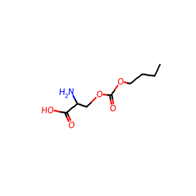 CCCCOC(=O)OCC(N)C(=O)O